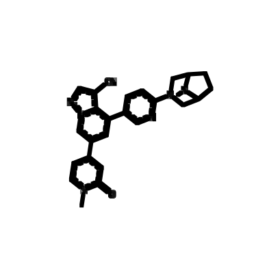 CN1C2CCC1CN(c1ccc(-c3cc(-c4ccn(C)c(=O)c4)cn4ncc(C#N)c34)cn1)C2